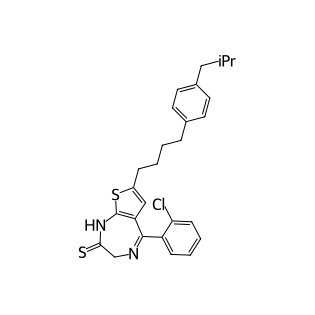 CC(C)Cc1ccc(CCCCc2cc3c(s2)NC(=S)CN=C3c2ccccc2Cl)cc1